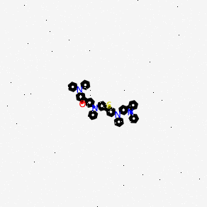 c1ccc(N(c2ccccc2)c2ccc3oc4cc(N(c5ccccc5)c5ccc6sc7cc(N(c8ccccc8)c8ccc9c%10ccccc%10n(-c%10ccccc%10)c9c8)ccc7c6c5)ccc4c3c2)cc1